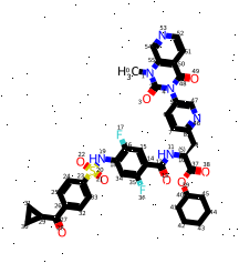 Cn1c(=O)n(-c2ccc(C[C@H](NC(=O)c3cc(F)c(NS(=O)(=O)c4ccc(C(=O)C5CC5)cc4)cc3F)C(=O)OC3CCCCC3)nc2)c(=O)c2ccncc21